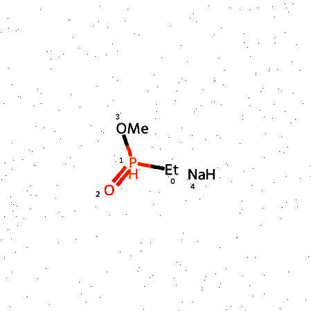 CC[PH](=O)OC.[NaH]